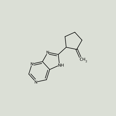 C=C1CCCC1c1nc2ncncc2[nH]1